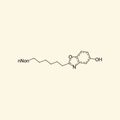 CCCCCCCCCCCCCCCc1nc2cc(O)ccc2o1